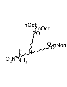 CCCCCCCCCOC(=O)CCCCCCCN(CCCCCCCC(=O)OC(CCCCCCCC)CCCCCCCC)CCCN/C(N)=C/[N+](=O)[O-]